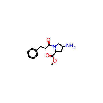 COC(=O)C1CC(N)CN1C(=O)CCc1ccccc1